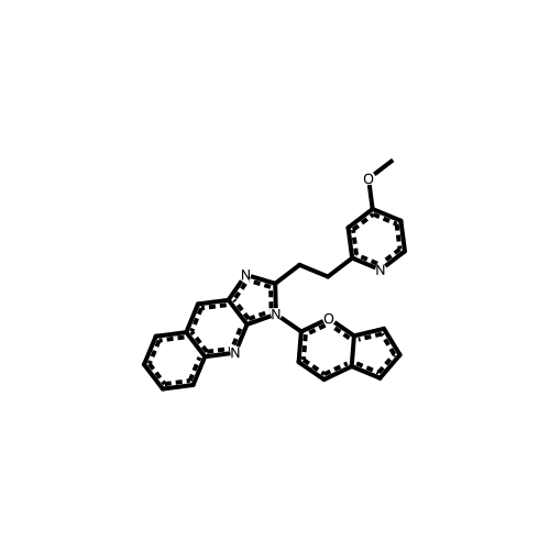 COc1ccnc(CCc2nc3cc4ccccc4nc3n2-c2ccc3cccc-3o2)c1